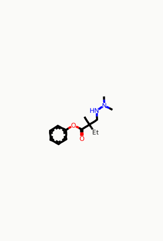 CCC(C)(CNN(C)C)C(=O)Oc1ccccc1